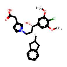 COc1cc([C@@H](O)[C@H](CC2Cc3ccccc3C2)Cn2ccc(CC(=O)O)c2)cc(OC)c1Cl